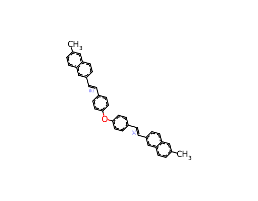 Cc1ccc2cc(/C=C/c3ccc(Oc4ccc(/C=C/c5ccc6cc(C)ccc6c5)cc4)cc3)ccc2c1